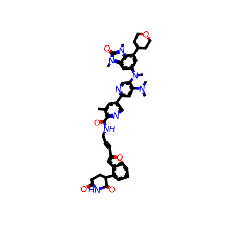 Cc1cc(-c2cc(N(C)C)c(N(C)c3cc(C4CCOCC4)c4c(c3)n(C)c(=O)n4C)cn2)cnc1C(=O)NCC#Cc1cc2c(C3CCC(=O)NC3=O)cccc2o1